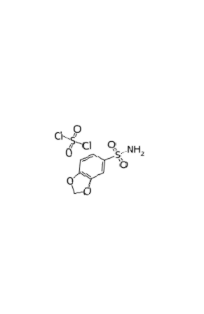 NS(=O)(=O)c1ccc2c(c1)OCO2.O=S(=O)(Cl)Cl